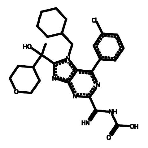 CC(O)(c1nc2nc(C(=N)NC(=O)O)nc(-c3cccc(Cl)c3)c2n1CC1CCCCC1)C1CCOCC1